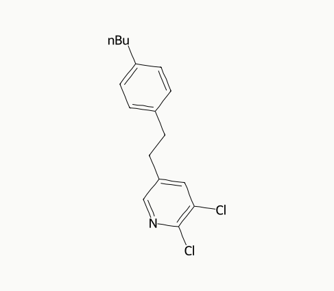 CCCCc1ccc(CCc2cnc(Cl)c(Cl)c2)cc1